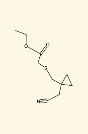 CCOC(=O)CSCC1(CC#N)CC1